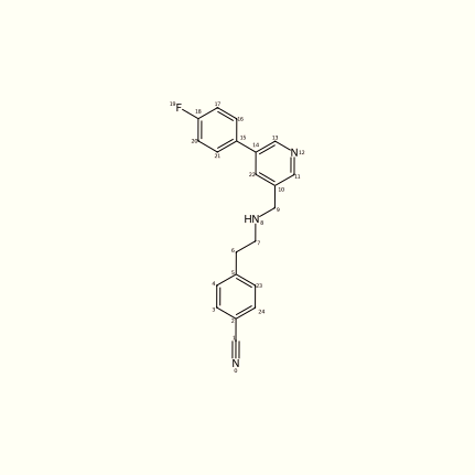 N#Cc1ccc(CCNCc2cncc(-c3ccc(F)cc3)c2)cc1